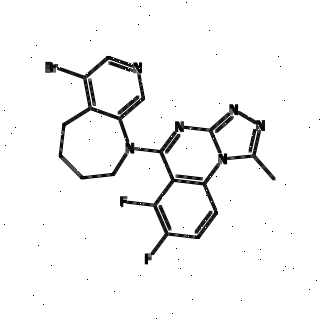 Cc1nnc2nc(N3CCCCc4c(Br)cncc43)c3c(F)c(F)ccc3n12